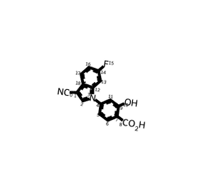 N#Cc1cn(-c2ccc(C(=O)O)c(O)c2)c2cc(F)ccc12